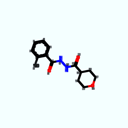 O=Nc1ccccc1C(=O)NNC(=O)C1CCOCC1